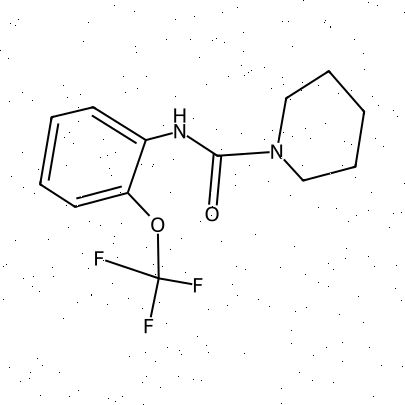 O=C(Nc1ccccc1OC(F)(F)F)N1CCCCC1